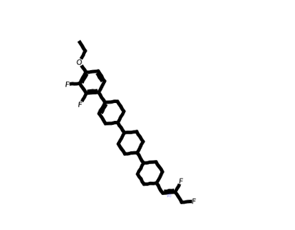 CCOc1ccc(C2=CCC(C3CCC(C4CCC(/C=C(\F)CF)CC4)CC3)CC2)c(F)c1F